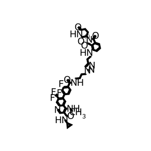 CNc1c(C(=O)NC2CC2)cnc2cc(C(F)(F)F)c(-c3ccc(C(=O)NCCCCn4cc(CCNc5cccc6c5C(=O)N([C@H]5CCC(=O)NC5=O)C6=O)nn4)c(F)c3)cc12